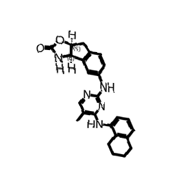 Cc1cnc(Nc2ccc3c(c2)[C@H]2NC(=O)O[C@H]2C3)nc1Nc1cccc2c1CCCC2